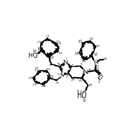 CN(C(=O)N1Cc2nc(Cc3ccccc3O)n(Cc3ccccc3)c2CC1CO)c1ccccc1